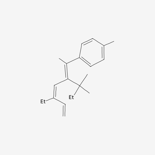 C=C/C(=C\C(=C(/C)c1ccc(C)cc1)C(C)(C)CC)CC